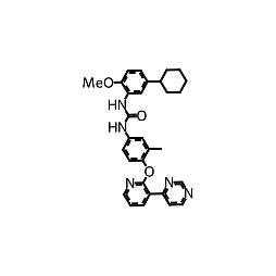 COc1ccc(C2CCCCC2)cc1NC(=O)Nc1ccc(Oc2ncccc2-c2ccncn2)c(C)c1